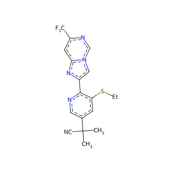 CCSc1cc(C(C)(C)C#N)cnc1-c1cn2cnc(C(F)(F)F)cc2n1